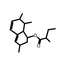 CCC(C)C(=O)OC1CC(C)C=C2C=CC(C)C(C)C21